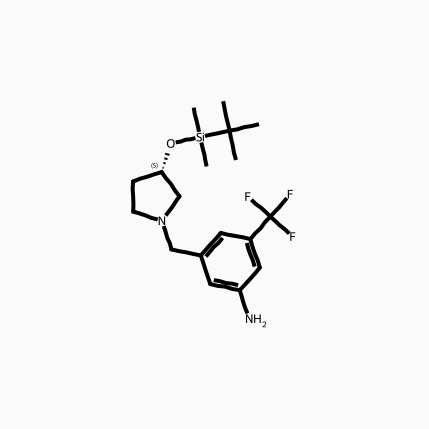 CC(C)(C)[Si](C)(C)O[C@H]1CCN(Cc2cc(N)cc(C(F)(F)F)c2)C1